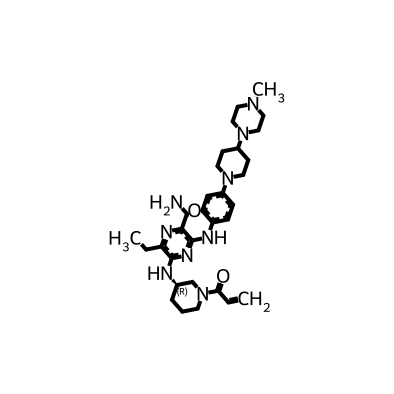 C=CC(=O)N1CCC[C@@H](Nc2nc(Nc3ccc(N4CCC(N5CCN(C)CC5)CC4)cc3)c(C(N)=O)nc2CC)C1